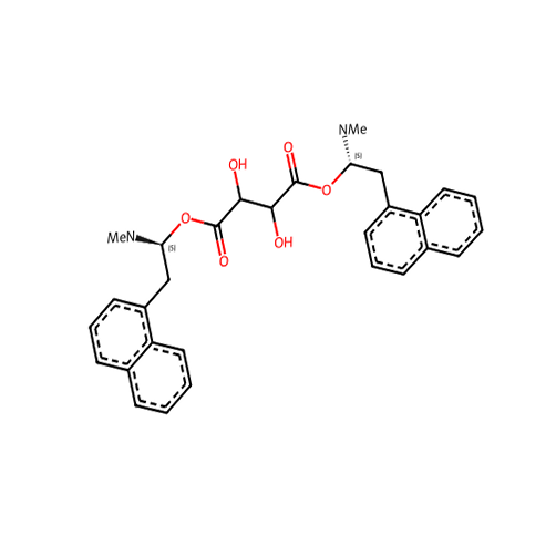 CN[C@H](Cc1cccc2ccccc12)OC(=O)C(O)C(O)C(=O)O[C@@H](Cc1cccc2ccccc12)NC